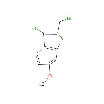 COc1ccc2c(Cl)c(CBr)sc2c1